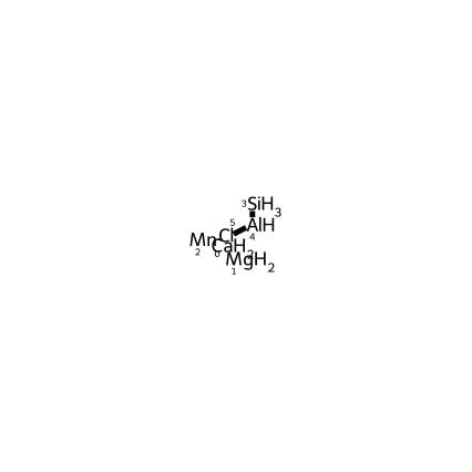 [CaH2].[MgH2].[Mn].[SiH3][AlH][Cl]